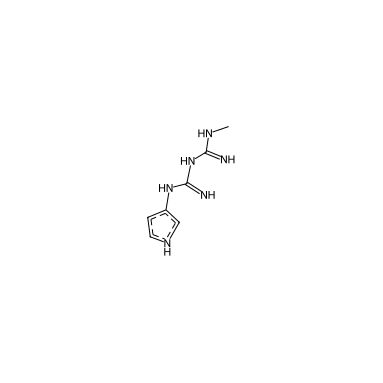 CNC(=N)NC(=N)Nc1cc[nH]c1